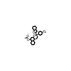 COc1ccc(C2(c3cc4ccccc4o3)C=Cc3c(cc(OC(C)=O)c4ccccc34)O2)cc1